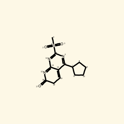 CS(=O)(=O)c1nc(C2CCCC2)c2c(n1)=NC(=O)CC=2